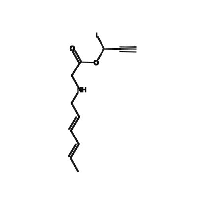 C#CC(I)OC(=O)CNC/C=C/C=C/C